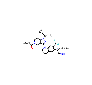 CN/C=C(\C=N)c1cc2c(cc1C(F)F)N(c1nn([C@@H](C)C3CC3)c3c1CN(C(=O)NC)CC3)CCC2